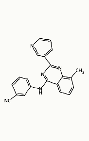 Cc1cccc2c(Nc3cccc(C#N)c3)nc(-c3cccnc3)nc12